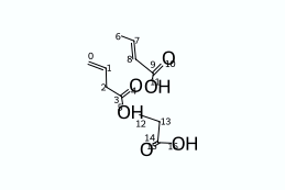 C=CCC(=O)O.CC=CC(=O)O.CCC(=O)O